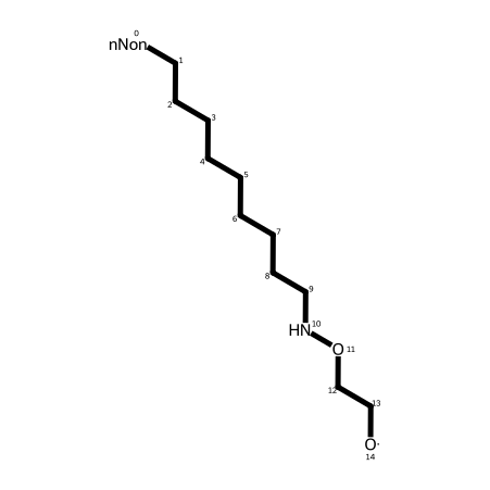 CCCCCCCCCCCCCCCCCCNOCC[O]